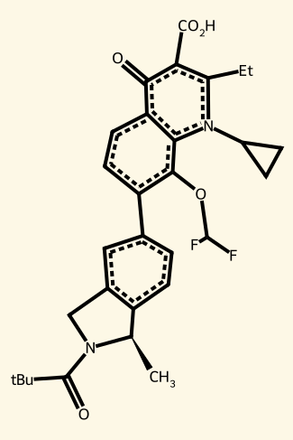 CCc1c(C(=O)O)c(=O)c2ccc(-c3ccc4c(c3)CN(C(=O)C(C)(C)C)[C@@H]4C)c(OC(F)F)c2n1C1CC1